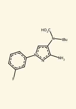 CC(C)(C)N(C(=O)O)c1cn(-c2cccc(F)c2)nc1N